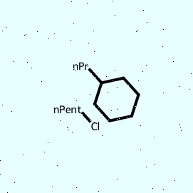 CCCC1CCCCC1.CCCCCCl